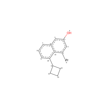 CC(C)c1cc(O)cc2cccc(C3CCC3)c12